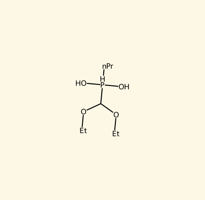 CCC[PH](O)(O)C(OCC)OCC